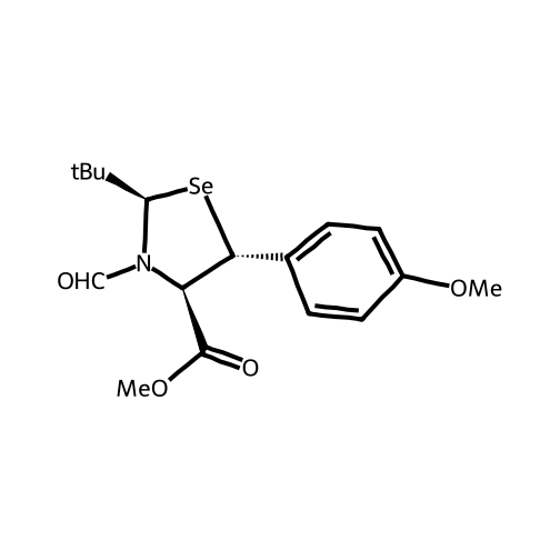 COC(=O)[C@@H]1[C@@H](c2ccc(OC)cc2)[Se][C@H](C(C)(C)C)N1C=O